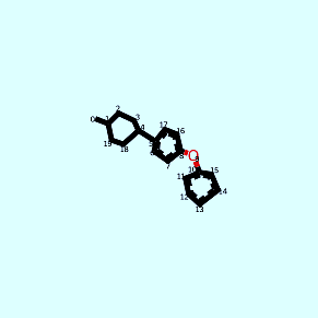 [CH2]C1CCC(c2ccc(Oc3ccccc3)cc2)CC1